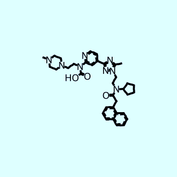 Cc1nc(-c2ccnc(N(CCN3CCN(C)CC3)C(=O)O)c2)nn1CCN(C(=O)Cc1cccc2ccccc12)C1CCCC1